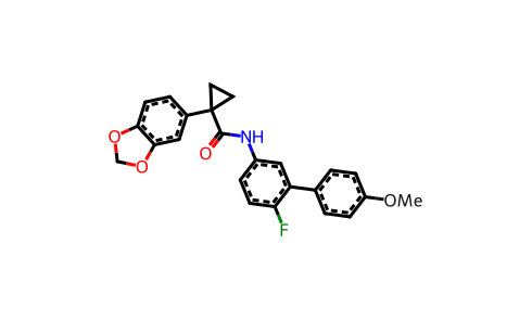 COc1ccc(-c2cc(NC(=O)C3(c4ccc5c(c4)OCO5)CC3)ccc2F)cc1